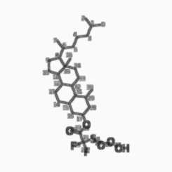 CC(C)CCCC(C)C1CCC2C3CCC4CC(OC(=O)C(F)(F)SOOO)CC(C)C4C3CCC12C